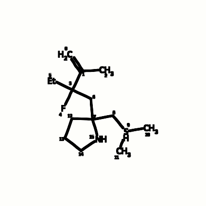 C=C(C)C(F)(CC)CC1(C[SH](C)C)CCCN1